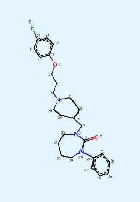 O=C1N(CC2CCN(CCCOc3ccc(F)cc3)CC2)CCCCN1c1ccccc1